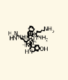 Cc1cc(O)cc2c1C(C(=O)NC(CCCNC(=N)N)C(=O)NC(Cc1ccccc1)C(=O)NC(CCCCN)C(N)=O)CNC2